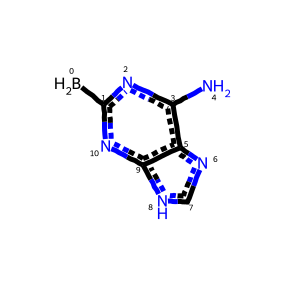 Bc1nc(N)c2nc[nH]c2n1